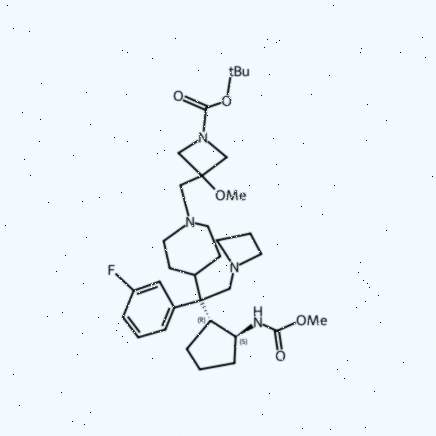 COC(=O)N[C@H]1CCC[C@@H]1C(CN1CCC1)(c1cccc(F)c1)C1CCN(CC2(OC)CN(C(=O)OC(C)(C)C)C2)CC1